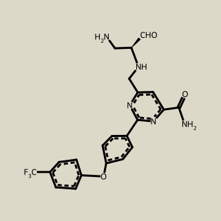 NC[C@@H](C=O)NCc1cc(C(N)=O)nc(-c2ccc(Oc3ccc(C(F)(F)F)cc3)cc2)n1